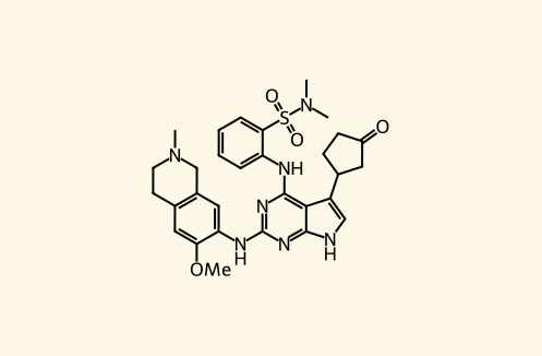 COc1cc2c(cc1Nc1nc(Nc3ccccc3S(=O)(=O)N(C)C)c3c(C4CCC(=O)C4)c[nH]c3n1)CN(C)CC2